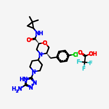 CC1(C)CC1NC(=O)[C@H]1CN(C2CCN(c3nnc(N)[nH]3)CC2)[C@@H](Cc2ccc(Cl)cc2)CO1.O=C(O)C(F)(F)F